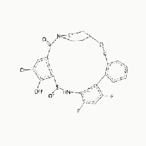 O=C1c2cc(Cl)c(O)c(c2)[S+]([O-])Nc2cc(c(F)cc2F)-c2ccccc2COC2CCN1CC2